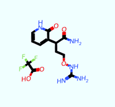 N=C(N)NOCCC(C(N)=O)c1ccc[nH]c1=O.O=C(O)C(F)(F)F